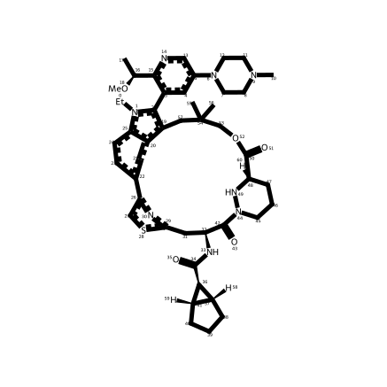 CCn1c(-c2cc(N3CCN(C)CC3)cnc2[C@H](C)OC)c2c3cc(ccc31)-c1csc(n1)C[C@H](NC(=O)[C@H]1[C@@H]3CCC[C@@H]31)C(=O)N1CCC[C@H](N1)C(=O)OCC(C)(C)C2